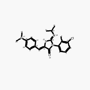 Cc1c(Cl)cccc1N1C(=O)/C(=C/c2ccc(N(C)C)cc2)S/C1=N\C(C)C